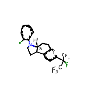 Fc1ccccc1N1CCC2c3ccc(C(F)(C(F)(F)F)C(F)(F)F)cc3CC[C@H]21